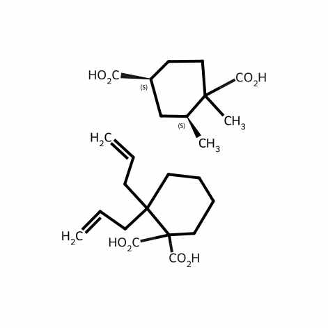 C=CCC1(CC=C)CCCCC1(C(=O)O)C(=O)O.C[C@H]1C[C@@H](C(=O)O)CCC1(C)C(=O)O